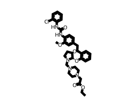 CCOC(=O)CN1CCN(CN2CCC[C@@H]2Oc2ccccc2C(=O)Cc2ccc(NC(=O)Nc3ccccc3Cl)c(OC)c2)CC1